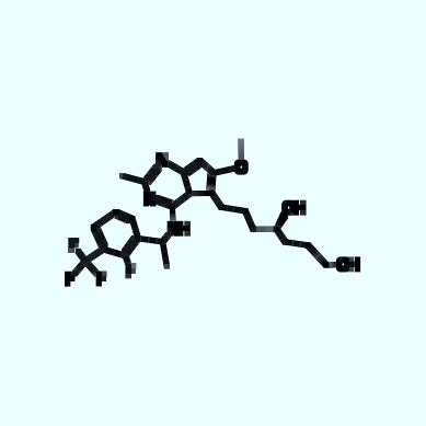 COC1=C(CCC[C@@H](O)CCCO)C2C(=C1)N=C(C)N=C2NC(C)c1cccc(C(F)(F)F)c1F